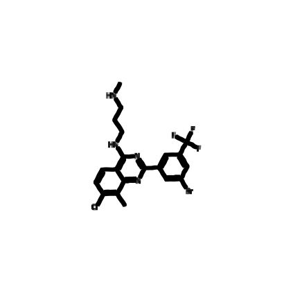 CNCCCNc1nc(-c2cc(Br)cc(C(F)(F)F)c2)nc2c(C)c(Cl)ccc12